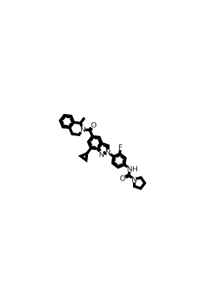 CC1c2ccccc2CCN1C(=O)c1cc(C2CC2)c2nn(-c3ccc(NC(=O)N4CCCC4)cc3F)cc2c1